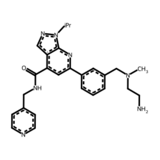 CC(C)n1ncc2c(C(=O)NCc3ccncc3)cc(-c3cccc(CN(C)CCN)c3)nc21